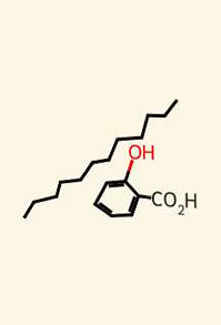 CCCCCCCCCCCC.O=C(O)c1ccccc1O